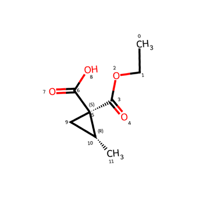 CCOC(=O)[C@@]1(C(=O)O)C[C@H]1C